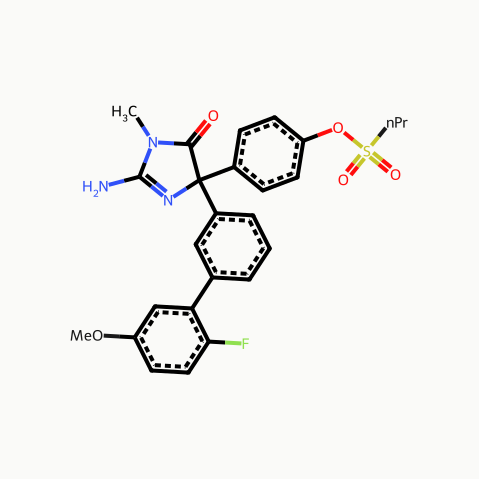 CCCS(=O)(=O)Oc1ccc(C2(c3cccc(-c4cc(OC)ccc4F)c3)N=C(N)N(C)C2=O)cc1